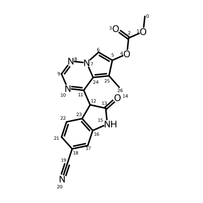 COC(=O)Oc1cn2ncnc(C3C(=O)Nc4cc(C#N)ccc43)c2c1C